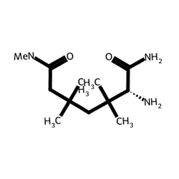 CNC(=O)CC(C)(C)CC(C)(C)[C@@H](N)C(N)=O